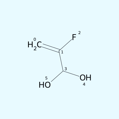 C=C(F)C(O)O